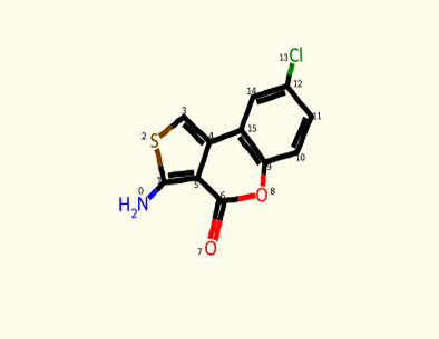 Nc1scc2c1c(=O)oc1ccc(Cl)cc12